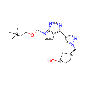 C[Si](C)(C)CCOCn1ccc2c(-c3cnn(C[C@H]4CC[C@@H](O)C4)c3)ncnc21